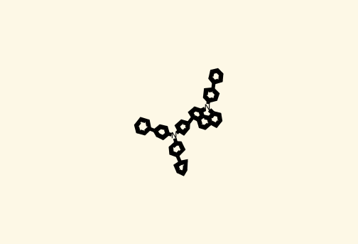 c1ccc(-c2ccc(N(c3ccc(-c4ccccc4)cc3)c3ccc(-c4ccc5c6c4ccc4cccc(c46)n5-c4ccc(-c5ccccc5)cc4)cc3)cc2)cc1